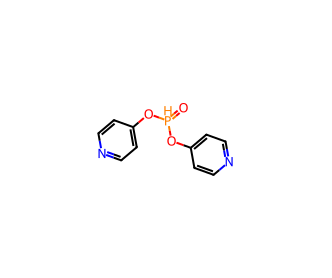 O=[PH](Oc1ccncc1)Oc1ccncc1